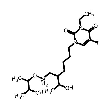 CCn1c(=O)c(F)cn(CCCCC(C[SiH2]OC(C)C(C)O)C(C)O)c1=O